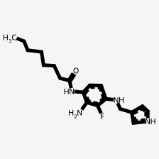 CCCCCCCC(=O)Nc1ccc(NCc2cc[nH]c2)c(F)c1N